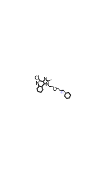 Cc1nc2c(Cl)nc3ccccc3c2n1CCOC/C=C/c1ccccc1